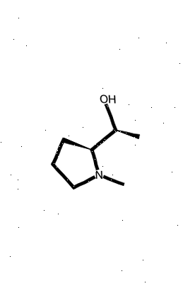 C[C@H](O)[C@@H]1CCCN1C